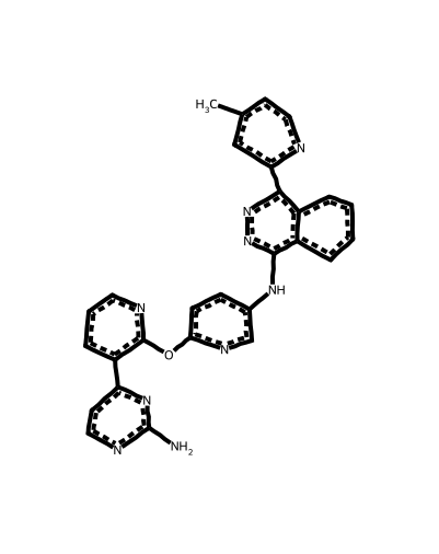 Cc1ccnc(-c2nnc(Nc3ccc(Oc4ncccc4-c4ccnc(N)n4)nc3)c3ccccc23)c1